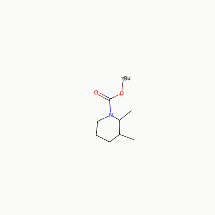 CC1CCCN(C(=O)OC(C)(C)C)C1C